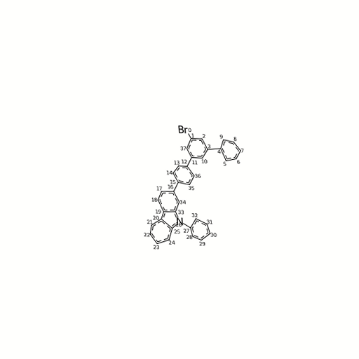 Brc1cc(-c2ccccc2)cc(-c2ccc(-c3ccc4c5ccccc5n(-c5ccccc5)c4c3)cc2)c1